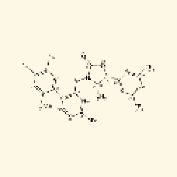 COc1cc(F)c(C(C)C)cc1-c1ccc(C(C)C)nc1CN1C(=O)O[C@H](c2cc(C(F)(F)F)cc(C(F)(F)F)c2)[C@@H]1C